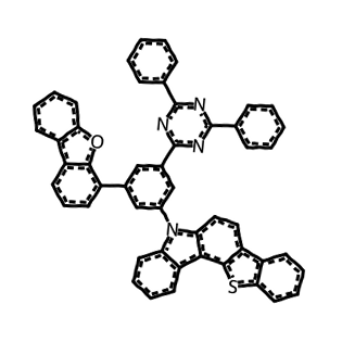 c1ccc(-c2nc(-c3ccccc3)nc(-c3cc(-c4cccc5c4oc4ccccc45)cc(-n4c5ccccc5c5c6sc7ccccc7c6ccc54)c3)n2)cc1